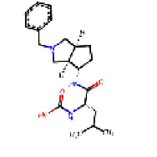 CC(C)C[C@H](NC(=O)O)C(=O)N[C@H]1CC[C@@H]2CN(Cc3ccccc3)C[C@@H]21